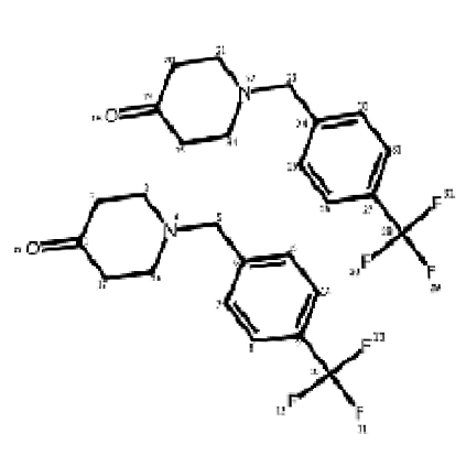 O=C1CCN(Cc2ccc(C(F)(F)F)cc2)CC1.O=C1CCN(Cc2ccc(C(F)(F)F)cc2)CC1